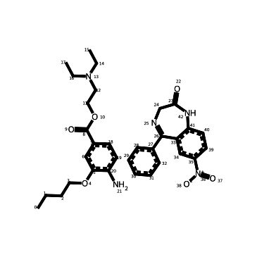 CCCCOc1cc(C(=O)OCCN(CC)CC)ccc1N.O=C1CN=C(c2ccccc2)c2cc([N+](=O)[O-])ccc2N1